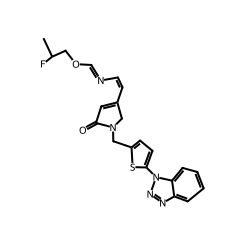 CC(F)CO/C=N/C=C\C1=CC(=O)N(Cc2ccc(-n3nnc4ccccc43)s2)C1